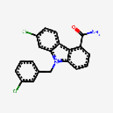 NC(=O)c1cccc2c1c1[c]cc(Cl)cc1n2Cc1cccc(Cl)c1